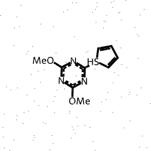 COc1nc(OC)nc([SH]2C=CC=C2)n1